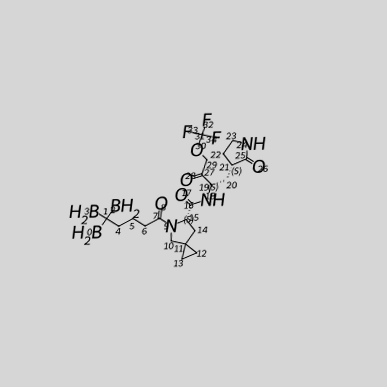 BC(B)(B)CCCC(=O)N1CC2(CC2)C[C@H]1C(=O)N[C@@H](C[C@@H]1CCNC1=O)C(=O)COC(F)(F)F